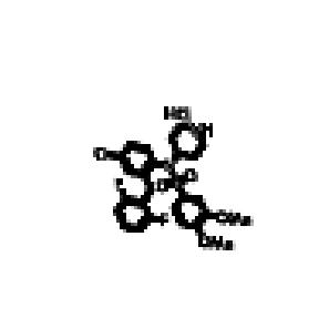 COc1ccc(S(=O)(=O)N(c2ccc(Cl)cc2Cc2c(F)cccc2F)C2CCNCC2)cc1OC.Cl